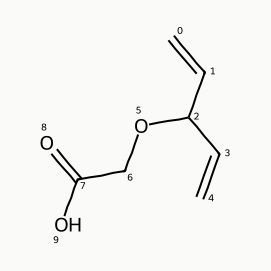 C=CC(C=C)OCC(=O)O